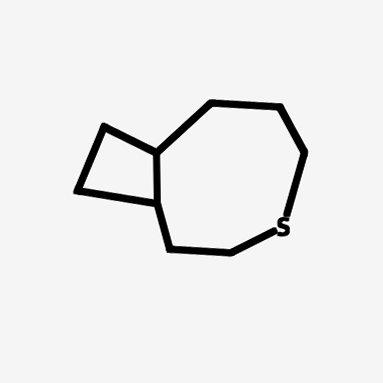 C1CSCCC2CCC2C1